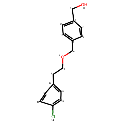 OCc1ccc(COCCc2ccc(Cl)cc2)cc1